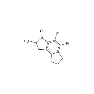 CC1Cc2c3c(c(Br)c(Br)c2C1=O)CCC3